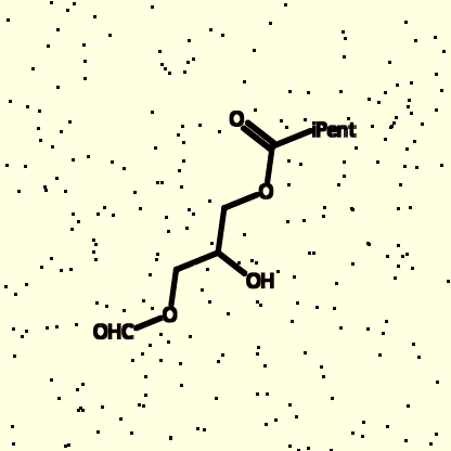 CCCC(C)C(=O)OCC(O)COC=O